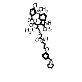 COc1ccc2[nH]c(C)c(C(C(=O)OC(=O)c3ccc(Cl)cc3)C(C)CSCC(=O)NCCCOc3cccc(CN4CCCC4)c3)c2c1